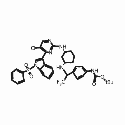 CC(C)(C)OC(=O)Nc1ccc(C(N[C@H]2CCC[C@@H](Nc3ncc(Cl)c(-c4cn(S(=O)(=O)c5ccccc5)c5ccccc45)n3)C2)C(F)(F)F)cc1